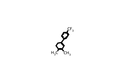 CC1=C(C)CCC(c2ccc(C(F)(F)F)cc2)=C1